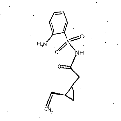 C=C[C@@H]1CC1CC(=O)NS(=O)(=O)c1ccccc1N